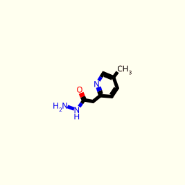 Cc1ccc(CC(=O)NN)nc1